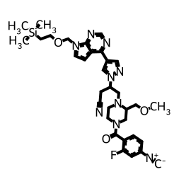 [C-]#[N+]c1ccc(C(=O)N2CCN(CC(CC#N)n3cc(-c4ncnc5c4ccn5COCC[Si](C)(C)C)cn3)C(COC)C2)c(F)c1